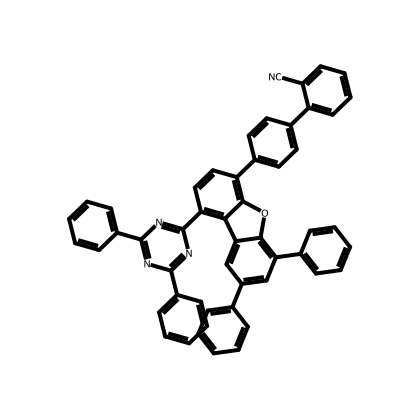 N#Cc1ccccc1-c1ccc(-c2ccc(-c3nc(-c4ccccc4)nc(-c4ccccc4)n3)c3c2oc2c(-c4ccccc4)cc(-c4ccccc4)cc23)cc1